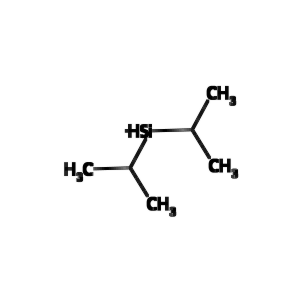 CC(C)[SiH]C(C)C